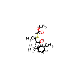 COC(=O)CSC(C)CC(=O)[C@H]1[C@@H](C)C=CCC1(C)C